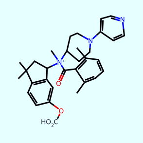 Cc1cccc(C)c1C(=O)[N+](C)(C1CCN(c2ccncc2)CC1)C1CC(C)(C)c2ccc(OC(=O)O)cc21